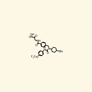 CC(C)(C)C1CCC(N(Cc2ccc(C(=O)NCC(=O)NO)cc2)C(=O)Nc2ccc(OC(F)(F)F)cc2)CC1